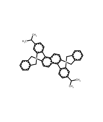 CC(C)c1ccc2c(c1)[Si]1(Cc3ccccc3C1)c1ccc3c4c(ccc3c1-2)[Si]1(Cc2ccccc2C1)c1cc(C(C)C)ccc1-4